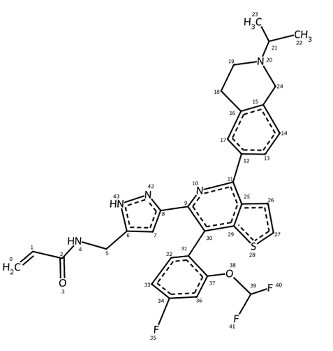 C=CC(=O)NCc1cc(-c2nc(-c3ccc4c(c3)CCN(C(C)C)C4)c3ccsc3c2-c2ccc(F)cc2OC(F)F)n[nH]1